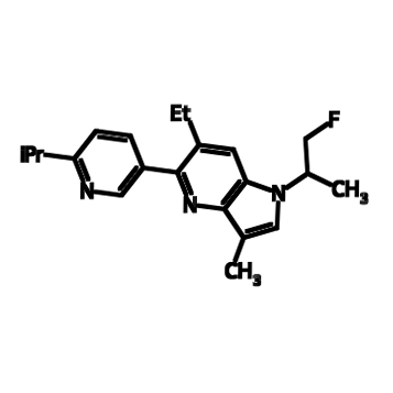 CCc1cc2c(nc1-c1ccc(C(C)C)nc1)c(C)cn2C(C)CF